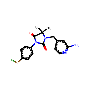 CC1(C)C(=O)N(c2ccc(SF)cc2)C(=O)N1Cc1ccnc(N)c1